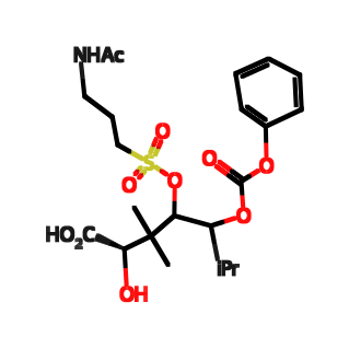 CC(=O)NCCCS(=O)(=O)OC(C(OC(=O)Oc1ccccc1)C(C)C)C(C)(C)[C@@H](O)C(=O)O